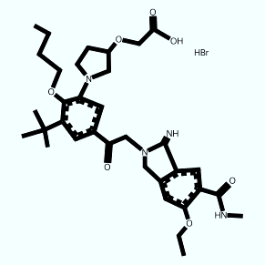 Br.CCCCOc1c(N2CCC(OCC(=O)O)C2)cc(C(=O)CN2Cc3cc(OCC)c(C(=O)NC)cc3C2=N)cc1C(C)(C)C